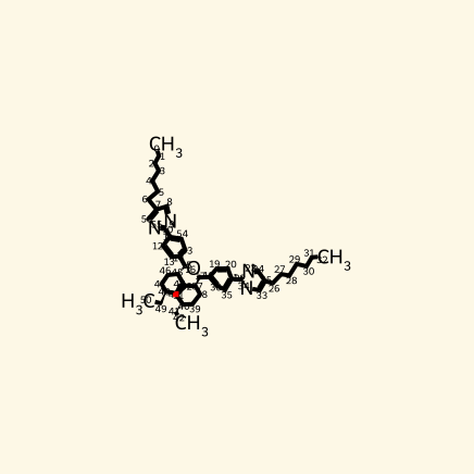 CCCCCCCc1cnc(-c2ccc(C(OC(c3ccc(-c4ncc(CCCCCCC)cn4)cc3)[C@H]3CC[C@H](CC)CC3)[C@H]3CC[C@H](CC)CC3)cc2)nc1